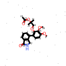 COc1ccc(-c2cccc3c2CNC3=O)c(OCC(C)(C)OC(C)=O)c1OC